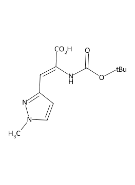 Cn1ccc(/C=C(\NC(=O)OC(C)(C)C)C(=O)O)n1